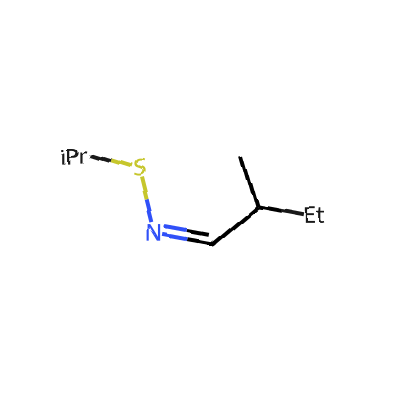 CCC(C)/C=N\SC(C)C